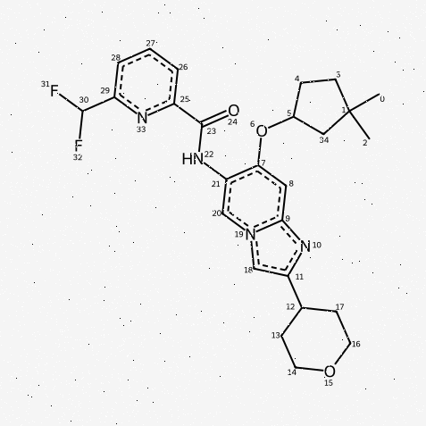 CC1(C)CCC(Oc2cc3nc(C4CCOCC4)cn3cc2NC(=O)c2cccc(C(F)F)n2)C1